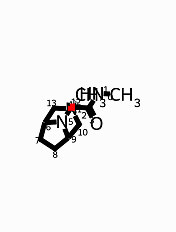 CNC(=O)CN1C2CCC1CN(C)C2